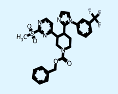 CS(=O)(=O)c1nccc(C2CN(C(=O)OCc3ccccc3)CCC2c2nccn2-c2cccc(C(F)(F)F)c2)n1